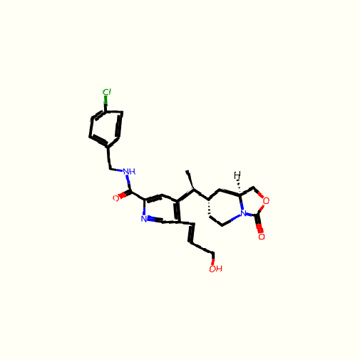 C[C@H](c1cc(C(=O)NCc2ccc(Cl)cc2)ncc1/C=C/CO)[C@H]1CCN2C(=O)OC[C@@H]2C1